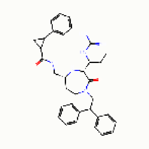 CCC(NC(=N)N)[C@@H]1N[C@H](CNC(=O)C2CC2c2ccccc2)CCN(CC(c2ccccc2)c2ccccc2)C1=O